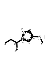 CCC(F)n1cc(NC)cn1